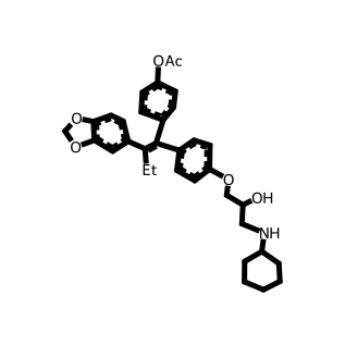 CCC(=C(c1ccc(OCC(O)CNC2CCCCC2)cc1)c1ccc(OC(C)=O)cc1)c1ccc2c(c1)OCO2